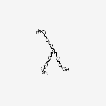 CCCOCCOCCOCCN(CCOCCOCCO)CCOCCOCCOCCC